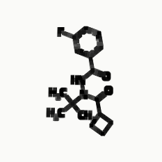 CC(C)(C)N(NC(=O)c1cccc(F)c1)C(=O)C1CCC1